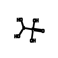 O=P(O)(O)B(O)O